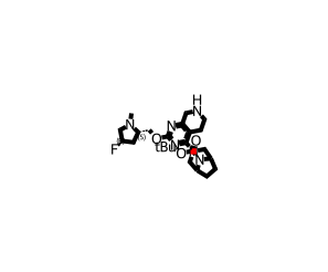 CN1C[C@H](F)C[C@H]1COc1nc2c(c(N3CC4CCC(C3)N4C(=O)OC(C)(C)C)n1)CCNC2